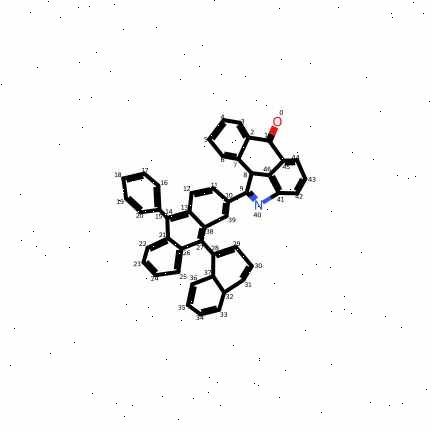 O=C1c2ccccc2C2C(c3ccc4c(-c5ccccc5)c5ccccc5c(C5=CC=CC6C=CC=CC56)c4c3)=Nc3cccc1c32